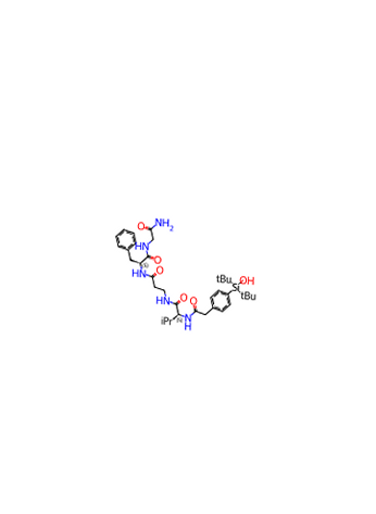 CC(C)[C@H](NC(=O)Cc1ccc([Si](O)(C(C)(C)C)C(C)(C)C)cc1)C(=O)NCCC(=O)N[C@@H](Cc1ccccc1)C(=O)NCC(N)=O